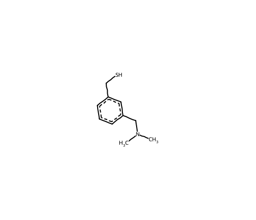 CN(C)Cc1cccc(CS)c1